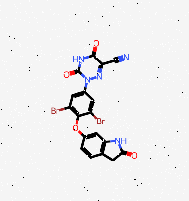 N#Cc1nn(-c2cc(Br)c(Oc3ccc4c(c3)NC(=O)C4)c(Br)c2)c(=O)[nH]c1=O